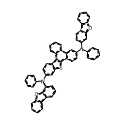 c1ccc(N(c2ccc3c(c2)oc2ccccc23)c2ccc3c(c2)c2ccccc2c2c4ccc(N(c5ccccc5)c5cccc6c5oc5ccccc56)cc4sc32)cc1